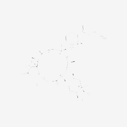 C#CCCN(C)[C@H]1C[C@@H](C)O[C@@H](O[C@@H]2[C@@H](C)[C@H](O[C@H]3C[C@@](C)(OC)[C@@H](O)[C@H](C)O3)[C@@H](C)C(=O)O[C@H](CC)[C@@]3(C)OC(=O)N[C@@H]3[C@@H](C)C(=O)[C@H](C)C[C@@]2(C)OC)[C@@H]1O